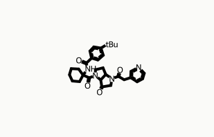 CC(C)(C)c1ccc(C(=O)NC2(C(=O)N3CCC4C3C(=O)CN4C(=O)Cc3cccnc3)CCCCC2)cc1